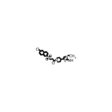 CCn1cc(C2CCN(C(=O)CCS(=O)(=O)c3ccc4cc(Cl)ccc4c3)CC2)sc1=N